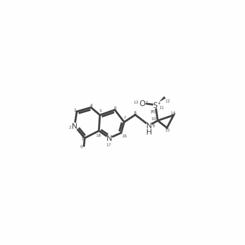 Cc1nccc2cc(CNC3([S@+](C)[O-])CC3)cnc12